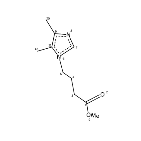 COC(=O)CCCn1[c]nc(C)c1C